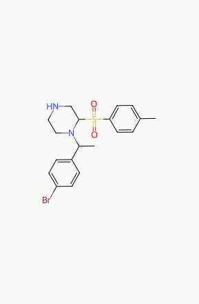 Cc1ccc(S(=O)(=O)C2CNCCN2C(C)c2ccc(Br)cc2)cc1